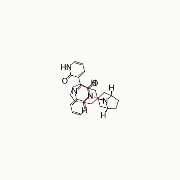 O=c1[nH]cccc1-c1nc2ccccc2n([C@H]2C[C@H]3CC[C@@H](C2)N3[C@@H]2C[C@@H]3CCCC[C@@H](C3)C2)c1=O